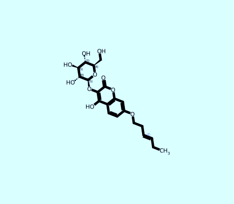 CC/C=C/CCOc1ccc2c(O)c(O[C@@H]3O[C@H](CO)[C@@H](O)[C@H](O)[C@H]3O)c(=O)oc2c1